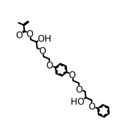 C=C(C)C(=O)OCC(O)COCCOc1ccc(OCCOCC(O)COc2ccccc2)cc1